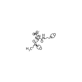 CCCN(C(=O)Cn1nc([N+](=O)[O-])nc1C(=O)NCCCN1CCOCC1)N1CCOCC1